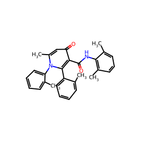 Cc1ccccc1-c1c(C(=O)Nc2c(C)cccc2C)c(=O)cc(C)n1-c1ccccc1C